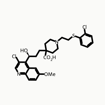 COc1ccc2ncc(Cl)c([C@@H](O)CCC3(C(=O)O)CCN(CCSc4ccccc4Cl)CC3)c2c1